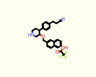 N#CCCc1ccc(C2CCNCC2OCc2ccc3ccccc3c2)cc1.O=C(O)C(F)(F)F